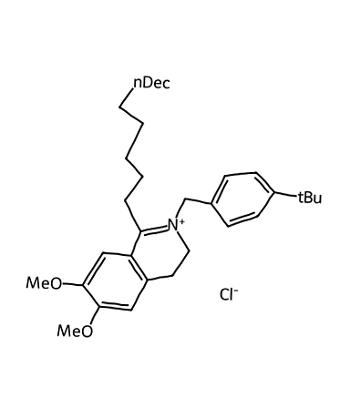 CCCCCCCCCCCCCCCC1=[N+](Cc2ccc(C(C)(C)C)cc2)CCc2cc(OC)c(OC)cc21.[Cl-]